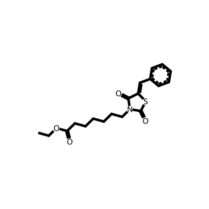 CCOC(=O)CCCCCCN1C(=O)S/C(=C\c2ccccc2)C1=O